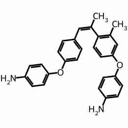 CC(=Cc1ccc(Oc2ccc(N)cc2)cc1)c1ccc(Oc2ccc(N)cc2)cc1C